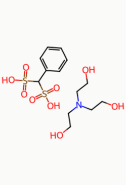 O=S(=O)(O)C(c1ccccc1)S(=O)(=O)O.OCCN(CCO)CCO